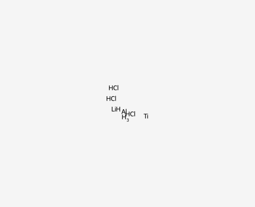 Cl.Cl.Cl.[AlH3].[LiH].[Ti]